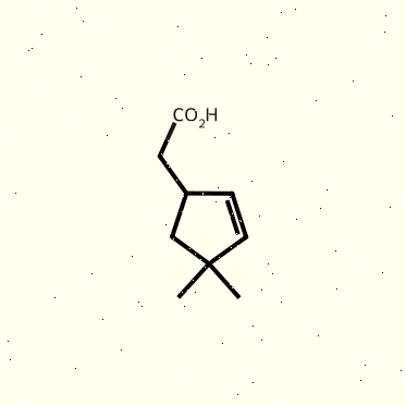 CC1(C)C=CC(CC(=O)O)C1